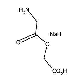 NCC(=O)OCC(=O)O.[NaH]